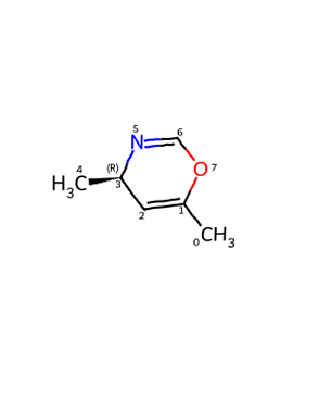 CC1=C[C@@H](C)N=CO1